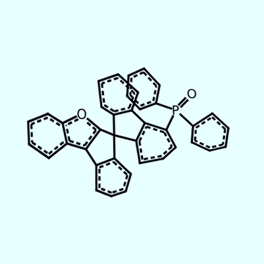 O=P(c1ccccc1)(c1ccccc1)c1cccc2c1-c1ccccc1C21c2ccccc2-c2c1oc1ccccc21